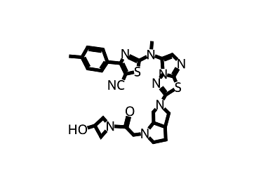 Cc1ccc(-c2nc(N(C)c3cnc4sc(N5CC6CCN(CC(=O)N7CC(O)C7)C6C5)nn34)sc2C#N)cc1